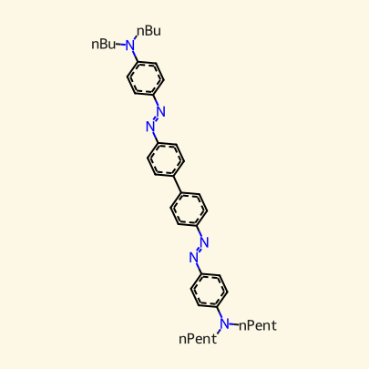 CCCCCN(CCCCC)c1ccc(N=Nc2ccc(-c3ccc(N=Nc4ccc(N(CCCC)CCCC)cc4)cc3)cc2)cc1